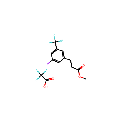 COC(=O)CCc1cc(I)cc(C(F)(F)F)c1.O=C(O)C(F)(F)F